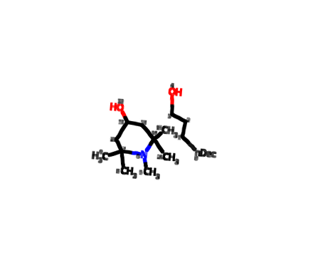 CCCCCCCCCCCCCO.CN1C(C)(C)CC(O)CC1(C)C